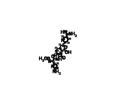 CO/N=C(\C(=O)N[C@@H]1C(=O)N2C(C(=O)O)=C(CSc3ccc(C(=N)N)cn3)CS[C@@H]12)c1csc(N)n1